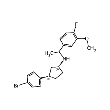 COc1cc(C(C)N[C@H]2CC[C@@H](c3ccc(Br)cc3)C2)ccc1F